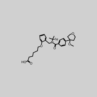 [2H]C(C)(C)N(Cc1ccccc1OCCCCCC(=O)O)C(=O)c1ccc(C2(OC)CCOCC2)cc1